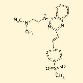 CN(C)CCNc1nc(C=Cc2ccc(S(C)(=O)=O)cc2)nc2ccccc12